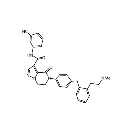 CNCCc1ccccc1Cc1ccc(N2CCn3ncc(C(=O)Nc4cccc(C#N)c4)c3C2=O)cc1